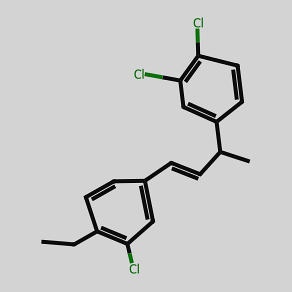 CCc1ccc(/C=C/C(C)c2ccc(Cl)c(Cl)c2)cc1Cl